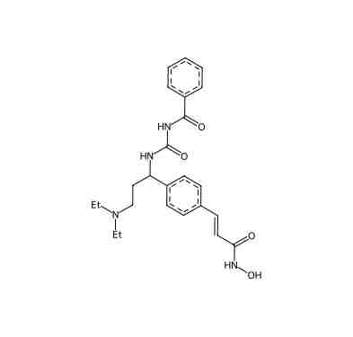 CCN(CC)CCC(NC(=O)NC(=O)c1ccccc1)c1ccc(C=CC(=O)NO)cc1